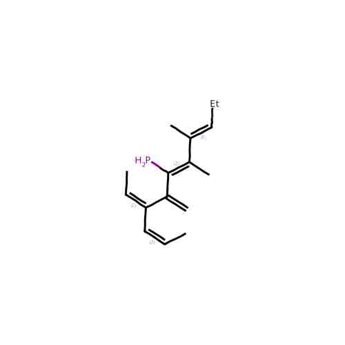 C=C(C(/C=C\C)=C\C)/C(P)=C(C)/C(C)=C/CC